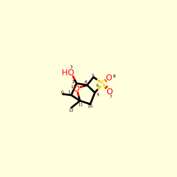 CC1C(O)C23CS(=O)(=O)C2CC1(C)O3